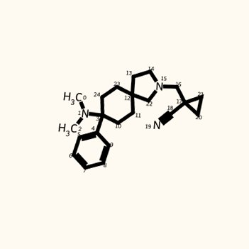 CN(C)C1(c2ccccc2)CCC2(CCN(CC3(C#N)CC3)C2)CC1